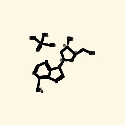 Nc1ncnc2c1ncn2[C@H]1C[C@H](O)[C@@H](CO)O1.O=P(O)(O)O